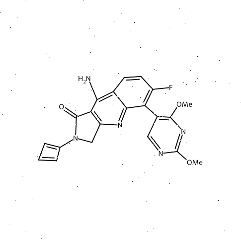 COc1ncc(-c2c(F)ccc3c(N)c4c(nc23)CN(C2=CC=C2)C4=O)c(OC)n1